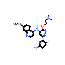 COc1ccc2c(Nc3cc(-c4cc(Cl)ccc4F)nnc3OCCN(C)C)ccnc2c1